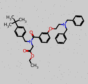 CCOC(=O)CN(Cc1ccc(C(C)(C)C)cc1)C(=O)c1cccc(OCCN(Cc2ccccc2)Cc2ccccc2)c1